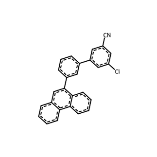 N#Cc1cc(Cl)cc(-c2cccc(-c3cc4ccccc4c4ccccc34)c2)c1